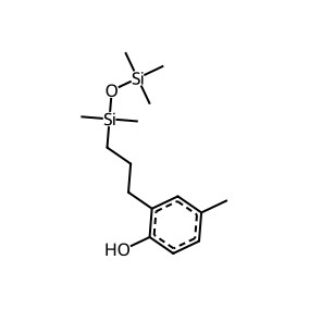 Cc1ccc(O)c(CCC[Si](C)(C)O[Si](C)(C)C)c1